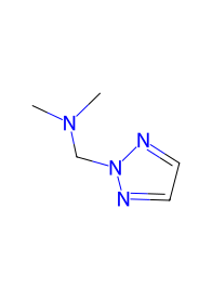 CN(C)Cn1nccn1